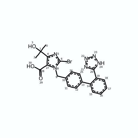 CC(C)(O)c1nc(Br)n(Cc2ccc(-c3ccccc3-c3nnn[nH]3)cc2)c1C(=O)O